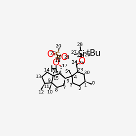 C[C@H]1CC[C@](C)([C@H]2CC[C@]3(C)[C@@H](C)CC[C@H]3[C@@H]2COS(C)(=O)=O)[C@@H](CO[Si](C)(C)C(C)(C)C)C1